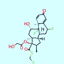 C[C@@H]1C[C@H]2[C@@H]3C[C@H](F)C4=CC(=O)C=C[C@]4(C)[C@@]3(F)[C@@H](O)C[C@]2(C)[C@@]1(OC(=O)CO)C(=O)SCF